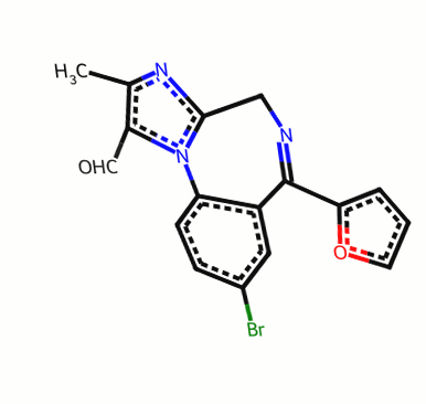 Cc1nc2n(c1C=O)-c1ccc(Br)cc1C(c1ccco1)=NC2